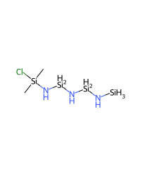 C[Si](C)(Cl)N[SiH2]N[SiH2]N[SiH3]